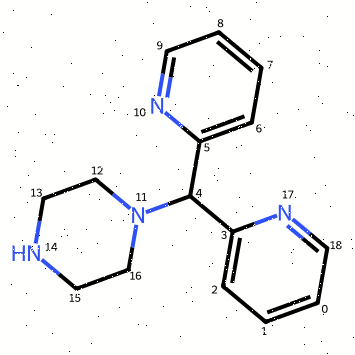 c1ccc(C(c2ccccn2)N2CCNCC2)nc1